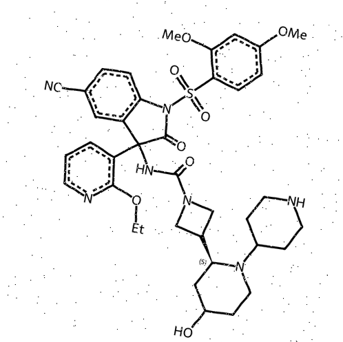 CCOc1ncccc1C1(NC(=O)N2CC([C@@H]3CC(O)CCN3C3CCNCC3)C2)C(=O)N(S(=O)(=O)c2ccc(OC)cc2OC)c2ccc(C#N)cc21